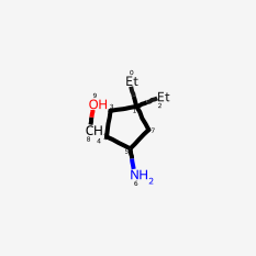 CCC1(CC)CCC(N)C1.CO